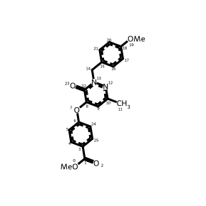 COC(=O)c1ccc(Oc2cc(C)nn(Cc3ccc(OC)cc3)c2=O)cc1